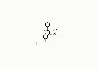 CCc1ccc2nc(-c3ccccc3)cc(NC(=N)NC=O)c2c1